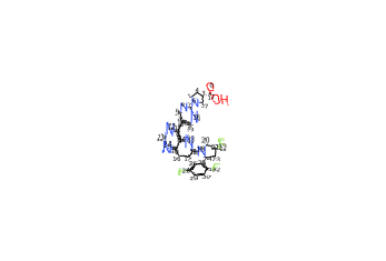 O=C(O)[C@H]1CCN(c2ncc(-c3ncnc4ccc(N5C[C@@H](F)C[C@@H]5c5cc(F)ccc5F)nc34)cn2)C1